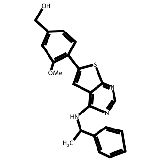 COc1cc(CO)ccc1-c1cc2c(NC(C)c3ccccc3)ncnc2s1